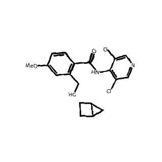 C1CC2CC12.COc1ccc(C(=O)Nc2c(Cl)cncc2Cl)c(CO)c1